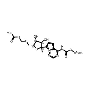 CCCCCOC(=O)Nc1ncnn2c([C@]3(C)O[C@H](COCOC(=O)C(C)(C)C)[C@@H](O)[C@H]3O)ccc12